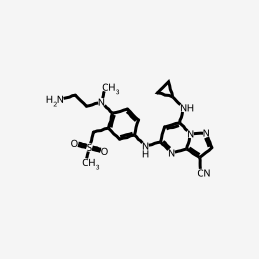 CN(CCN)c1ccc(Nc2cc(NC3CC3)n3ncc(C#N)c3n2)cc1CS(C)(=O)=O